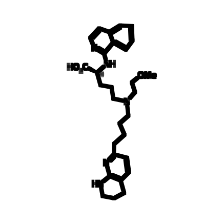 COCCN(CCCCc1ccc2c(n1)NCCC2)CCC[C@H](Nc1nccc2ccccc12)C(=O)O